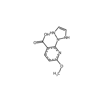 COc1ccc(C(=O)O)c(N2NC=CN2)n1